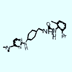 Cc1cccc(C(C)C)c1NC(=O)NCC1CCC(Nc2nccc(N(C)C)n2)CC1